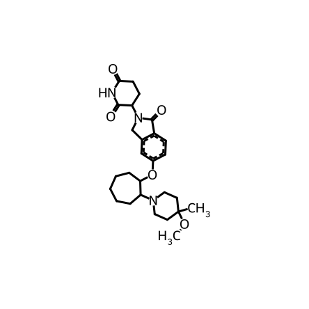 COC1(C)CCN(C2CCCCCC2Oc2ccc3c(c2)CN(C2CCC(=O)NC2=O)C3=O)CC1